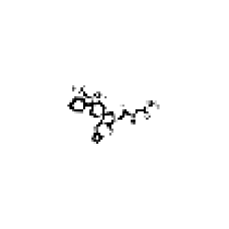 CCN(C)[C@]1(c2ccccc2)CC[C@@]2(CC1)CN(CC(=O)NCC(N)=O)C(=O)N2CC1CCC1